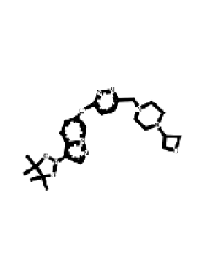 CC1(C)OB(c2cnn3cc(Oc4ccc(CN5CCN(C6COC6)CC5)nn4)ccc23)OC1(C)C